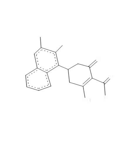 CCC(=O)C1=C(O)CC(c2c(C)c(C)cc3ccccc23)CC1=O